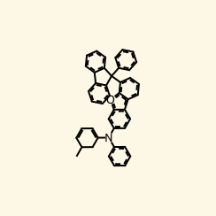 CC1C=CC=C(N(c2ccccc2)c2ccc3c(c2)oc2c(C4(c5ccccc5)c5ccccc5-c5ccccc54)cccc23)C1